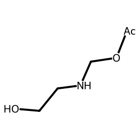 CC(=O)OCNCCO